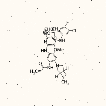 C=CC(=O)Nc1cc(Nc2nc(Nc3cc(Cl)c(F)cc3C(C)(C)O)cc(OC=O)n2)c(OC)cc1N1C[C@@H]2CN(C)[C@@H]2C1